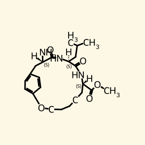 COC(=O)[C@@H]1CCCCCOc2ccc(cc2)C[C@H](N)C(=O)N[C@@H](CC(C)C)C(=O)N1